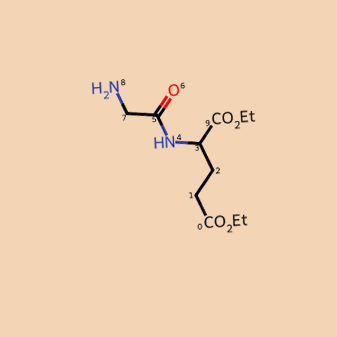 CCOC(=O)CCC(NC(=O)CN)C(=O)OCC